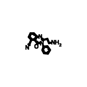 N#Cc1cccc2nc(CCN)n(-c3ccccc3)c(=O)c12